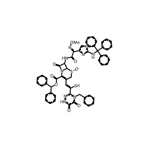 CON=C(C(=O)NC1C(=O)N2C(C(=O)OC(c3ccccc3)c3ccccc3)=C(C=C(S)c3n[nH]c(=O)c(=O)n3Cc3ccccc3)C[S+]([O-])C12)c1csc(NC(c2ccccc2)(c2ccccc2)c2ccccc2)n1